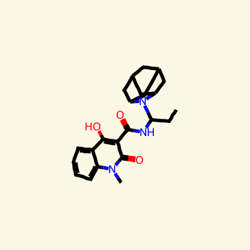 CCC(NC(=O)c1c(O)c2ccccc2n(C)c1=O)N1C2CC3CC(C2)CC1C3